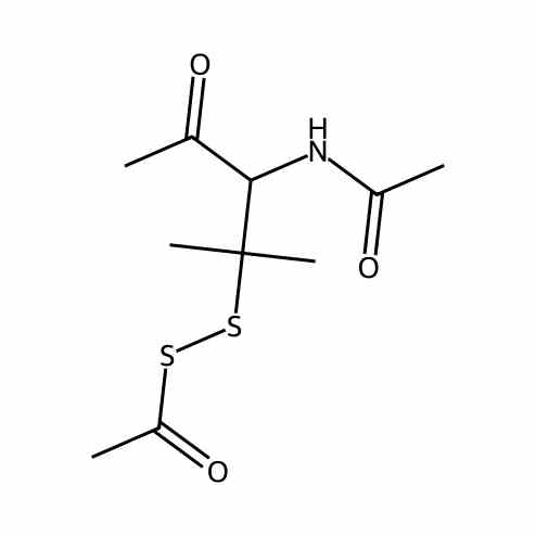 CC(=O)NC(C(C)=O)C(C)(C)SSC(C)=O